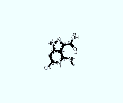 CNc1nc(Cl)cc2[nH]nc(C(=O)O)c12